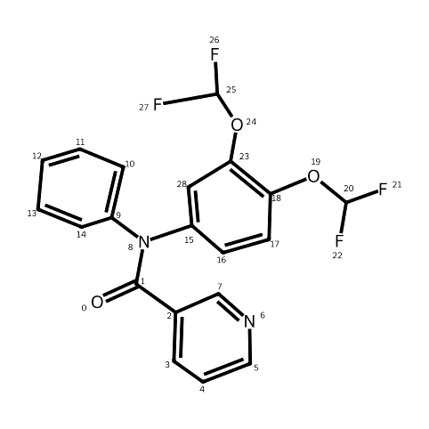 O=C(c1cccnc1)N(c1ccccc1)c1ccc(OC(F)F)c(OC(F)F)c1